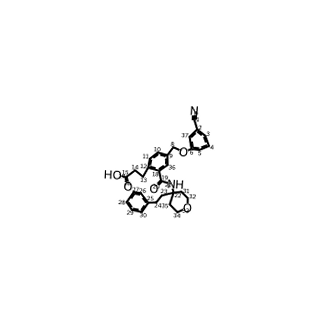 N#Cc1cccc(OCc2ccc(CCC(=O)O)c(C(=O)NC3(CCc4ccccc4)CCOCC3)c2)c1